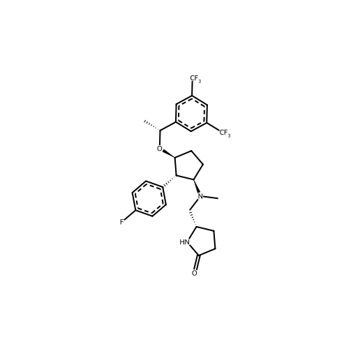 C[C@@H](O[C@H]1CC[C@@H](N(C)C[C@@H]2CCC(=O)N2)[C@@H]1c1ccc(F)cc1)c1cc(C(F)(F)F)cc(C(F)(F)F)c1